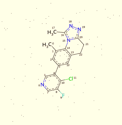 Cc1cc(-c2cncc(F)c2Cl)cc2c1-n1c(C)nnc1CC2